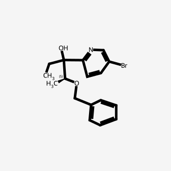 CCC(O)(c1ccc(Br)cn1)[C@H](C)OCc1ccccc1